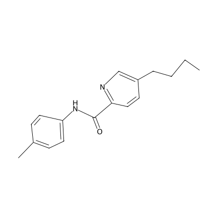 CCCCc1ccc(C(=O)Nc2ccc(C)cc2)nc1